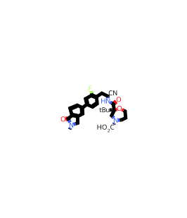 CN1Cc2cc(-c3ccc(C[C@@H](C#N)NC(=O)C4(C(C)(C)C)CN(C(=O)O)CCCO4)c(F)c3)ccc2C1=O